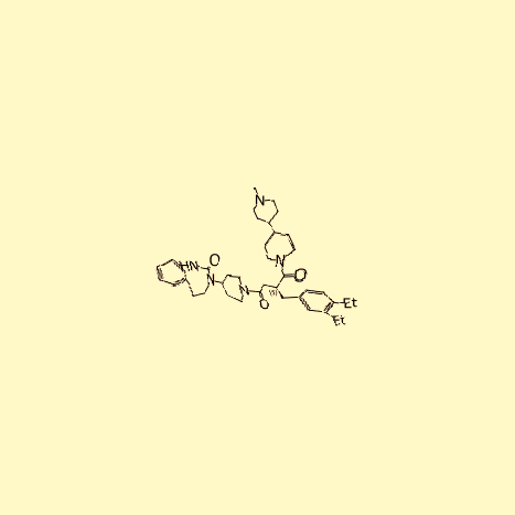 CCc1ccc(C[C@@H](CC(=O)N2CCC(N3CCc4ccccc4NC3=O)CC2)C(=O)N2CCC(C3CCN(C)CC3)CC2)cc1CC